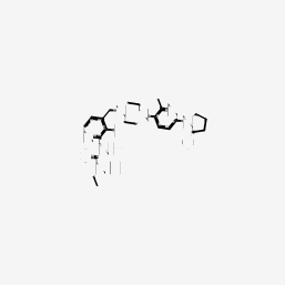 CCNC(=O)Nc1nccc(CN2CCN(c3ccc(N4CCCC4=O)nc3C)CC2)c1F